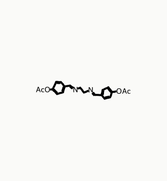 CC(=O)Oc1ccc(/C=N/CC/N=C/c2ccc(OC(C)=O)cc2)cc1